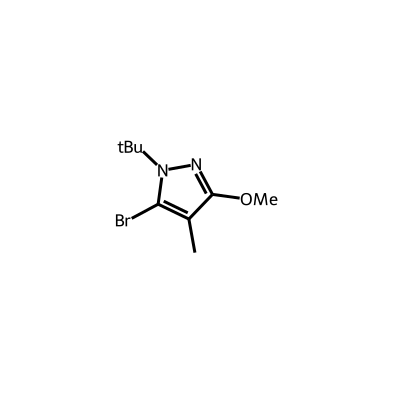 COc1nn(C(C)(C)C)c(Br)c1C